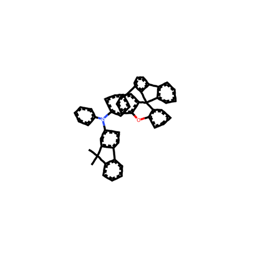 CC1(C)c2ccccc2-c2ccc(N(c3ccccc3)c3ccc(-c4cccc5c4C4(c6ccccc6Oc6ccccc64)c4ccccc4-5)cc3)cc21